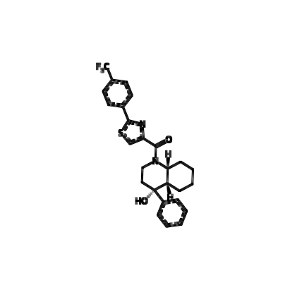 O=C(c1csc(-c2ccc(C(F)(F)F)cc2)n1)N1CC[C@](O)(c2ccccc2)[C@H]2CCCC[C@H]21